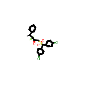 C[C@@H](c1ccccc1)C(F)(F)C(=O)CS(=O)(=O)C(c1ccc(Cl)cc1)c1ccc(Cl)cc1